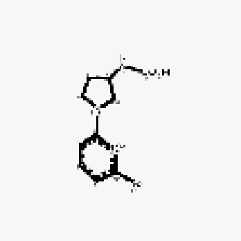 O=C(O)NC1CCN(c2cccc(Br)n2)C1